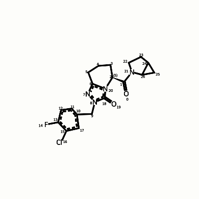 O=C([C@@H]1CCCc2nn(Cc3ccc(F)c(Cl)c3)c(=O)n21)N1CCC2CC21